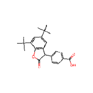 CC(C)(C)c1cc2c(c(C(C)(C)C)c1)OC(=O)C2c1ccc(C(=O)O)cc1